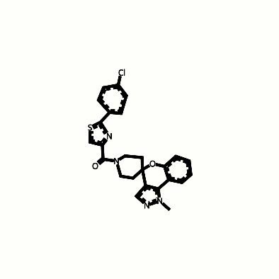 Cn1ncc2c1-c1ccccc1OC21CCN(C(=O)c2csc(-c3ccc(Cl)cc3)n2)CC1